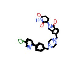 O=C1CCC(N2Cc3cc(CN4CCN(Cc5ccc(-c6ccc(Cl)cn6)cc5)CC4)ccc3C2=O)C(=O)N1